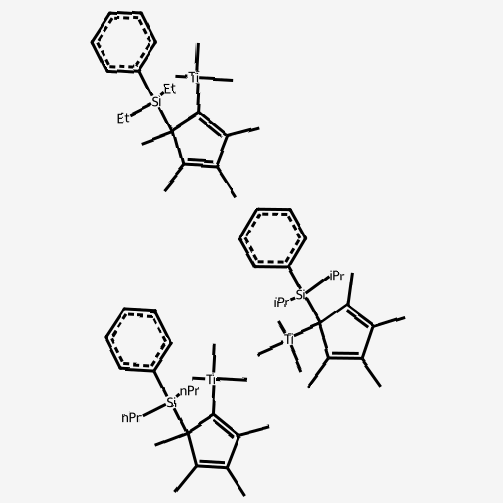 CC1=C(C)[C]([Si](c2ccccc2)(C(C)C)C(C)C)([Ti]([CH3])([CH3])[CH3])C(C)=C1C.CCC[Si](CCC)(c1ccccc1)C1(C)C(C)=C(C)C(C)=[C]1[Ti]([CH3])([CH3])[CH3].CC[Si](CC)(c1ccccc1)C1(C)C(C)=C(C)C(C)=[C]1[Ti]([CH3])([CH3])[CH3]